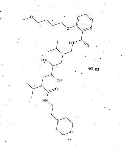 COCCCCOc1cccnc1C(=O)NCC(CC(N)C(O)CC(C(=O)NCCN1CCOCC1)C(C)C)C(C)C.Cl.Cl